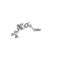 COCCCOc1cc(COC[C@@H](OS(=O)(=O)C(F)(F)F)[C@@H]2C[C@@H](C(C)C)C(=O)O2)ccc1C